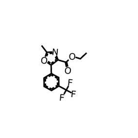 CCOC(=O)c1nc(C)oc1-c1cccc(C(F)(F)F)c1